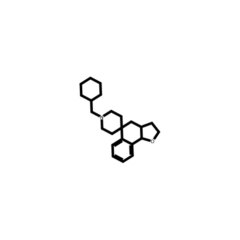 c1ccc2c(c1)C1OCCC1CC21CCN(CC2CCCCC2)CC1